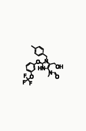 Cc1ccc(CN2C(CO)=C(N(C)C=O)N[C@H]2Oc2cccc(OC(F)(F)F)c2)cc1